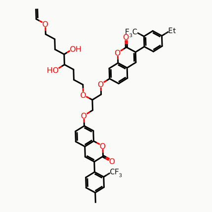 C=COCCCC(O)C(O)CCCOC(COc1ccc2cc(-c3ccc(C)cc3C(F)(F)F)c(=O)oc2c1)COc1ccc2cc(-c3ccc(CC)cc3C(F)(F)F)c(=O)oc2c1